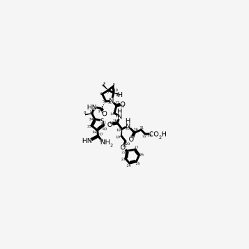 C[C@@H](NC(=O)[C@@H]1C[C@]2(C)C[C@@H]2N1C(=O)CNC(=O)[C@H](CCOc1ccccc1)NC(=O)CCC(=O)O)c1cc(C(=N)N)cs1